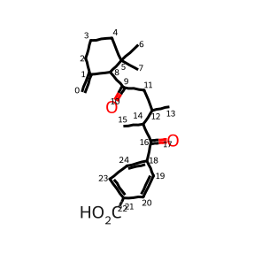 C=C1CCCC(C)(C)C1C(=O)CC(C)C(C)C(=O)c1ccc(C(=O)O)cc1